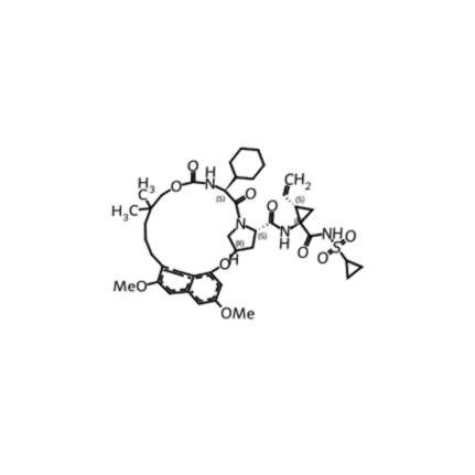 C=C[C@@H]1C[C@]1(NC(=O)[C@@H]1C[C@@H]2CN1C(=O)[C@H](C1CCCCC1)NC(=O)OCC(C)(C)CCCc1cc3c(cc(OC)cc3cc1OC)O2)C(=O)NS(=O)(=O)C1CC1